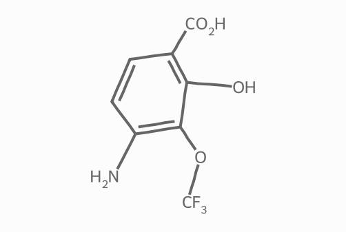 Nc1ccc(C(=O)O)c(O)c1OC(F)(F)F